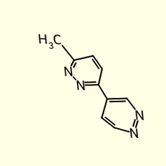 Cc1ccc(-c2ccnnc2)nn1